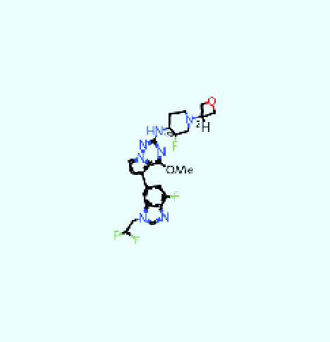 [2H]C1(N2CC[C@H](Nc3nc(OC)c4c(-c5cc(F)c6ncn(CC(F)F)c6c5)ccn4n3)[C@H](F)C2)COC1